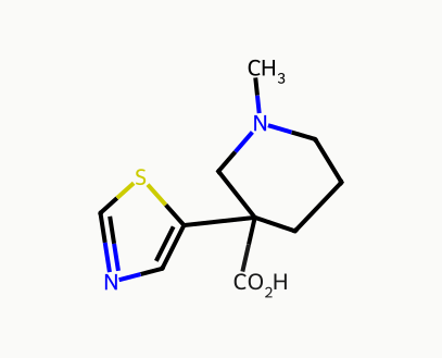 CN1CCCC(C(=O)O)(c2cncs2)C1